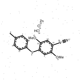 COc1cc(Sc2ccc(C)cc2)c(OC)cc1[N+]#N.Cl.[Cl-].[Zn]